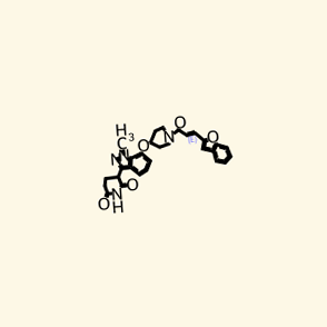 Cn1nc(C2CCC(=O)NC2=O)c2cccc(OC3CCN(C(=O)/C=C/c4cc5ccccc5o4)CC3)c21